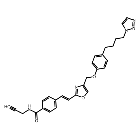 C#CCNC(=O)c1ccc(/C=C/c2nc(COc3ccc(CCCCn4ccnn4)cc3)co2)cc1